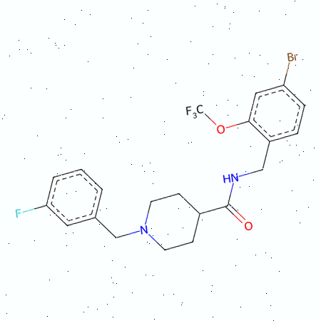 O=C(NCc1ccc(Br)cc1OC(F)(F)F)C1CCN(Cc2cccc(F)c2)CC1